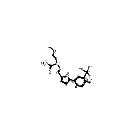 COCCN(N=Cc1ccc(-c2ccc(F)c(C(F)(F)F)c2)o1)C(N)=S